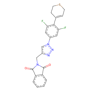 O=C1c2ccccc2C(=O)N1Cc1cn(-c2cc(F)c(C3=CCSCC3)c(F)c2)nn1